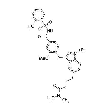 CCCn1cc(Cc2ccc(C(=O)NS(=O)(=O)c3ccccc3C)cc2OC)c2cc(CCCC(=O)N(C)C)ccc21